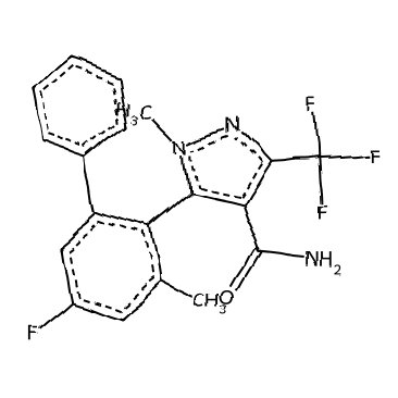 Cc1cc(F)cc(-c2ccccc2)c1-c1c(C(N)=O)c(C(F)(F)F)nn1C